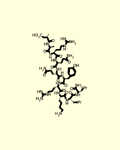 CC(C)C[C@H](NC(=O)[C@H](CC(C)C)NC(=O)[C@H](CCCCN)NC(=O)[C@H](CCCNC(=N)N)NC(=O)[C@H](Cc1ccc(O)cc1)NC(=O)[C@H](CCC(N)=O)NC(=O)[C@H](CCC(N)=O)NC(=O)[C@H](CCCNC(=N)N)NC(=O)[C@H](C)NC(=O)[C@@H](C)CC(=O)O)C(N)=O